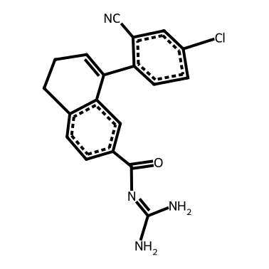 N#Cc1cc(Cl)ccc1C1=CCCc2ccc(C(=O)N=C(N)N)cc21